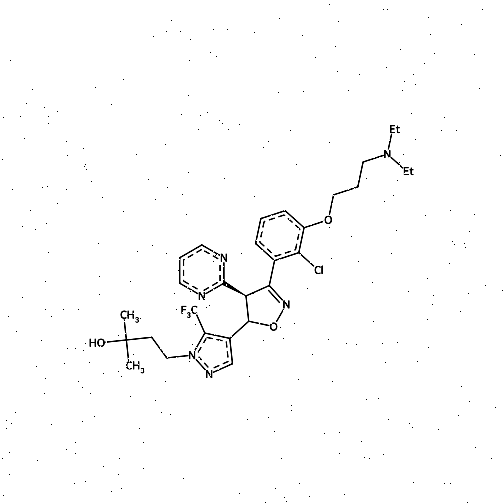 CCN(CC)CCCOc1cccc(C2=NOC(c3cnn(CCC(C)(C)O)c3C(F)(F)F)[C@H]2c2ncccn2)c1Cl